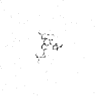 CC(C)CN(c1ccc(C2CC2C(=O)O)cc1Nc1nc(Cl)ns1)C1CCCCC1